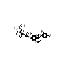 CC(CN(C)C)C(=O)NCCOc1cc2ncnc(Nc3ccc(Br)cc3F)c2cc1[N+](=O)[O-]